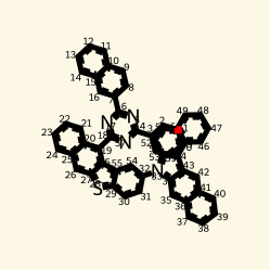 c1ccc(-c2nc(-c3ccc4ccccc4c3)nc(-c3c4ccccc4cc4sc5ccc(-n6c7cc8ccccc8cc7c7c8ccccc8ccc76)cc5c34)n2)cc1